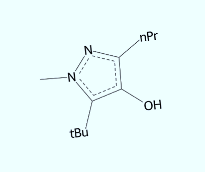 CCCc1nn(C)c(C(C)(C)C)c1O